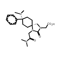 CN(C)C(=O)CN1C(=O)N(CC(=O)O)C[C@]12CC[C@@](c1ccccc1)(N(C)C)CC2